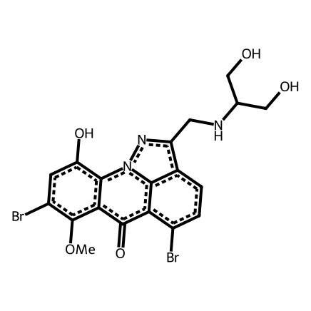 COc1c(Br)cc(O)c2c1c(=O)c1c(Br)ccc3c(CNC(CO)CO)nn2c31